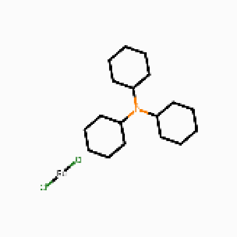 C1CCC(P(C2CCCCC2)C2CCCCC2)CC1.[Cl][Ru][Cl]